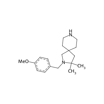 COc1ccc(CN2CC3(CCNCC3)CC2(C)C)cc1